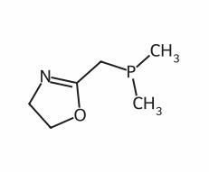 CP(C)CC1=NCCO1